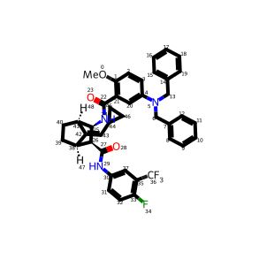 COc1ccc(N(Cc2ccccc2)Cc2ccccc2)cc1C(=O)N[C@H]1[C@@H](C(=O)Nc2ccc(F)c(C(F)(F)F)c2)[C@H]2CC[C@@H]1/C2=C\C1CC1